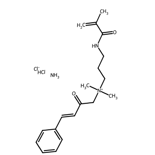 C=C(C)C(=O)NCCC[N+](C)(C)CC(=O)C=Cc1ccccc1.Cl.N.[Cl-]